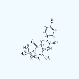 CC(C)ON(C[C@@H](C(=O)O)c1ccc(Cl)cc1)C(=O)OC(C)(C)C